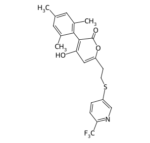 Cc1cc(C)c(-c2c(O)cc(CCSc3ccc(C(F)(F)F)nc3)oc2=O)c(C)c1